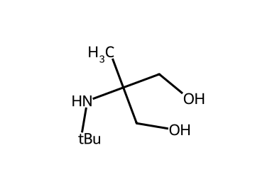 CC(C)(C)NC(C)(CO)CO